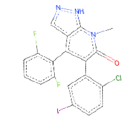 Cn1c(=O)c(-c2cc(I)ccc2Cl)c(-c2c(F)cccc2F)c2cn[nH]c21